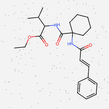 CCOC(=O)C(NC(=O)C1(NC(=O)C=Cc2ccccc2)CCCCC1)C(C)C